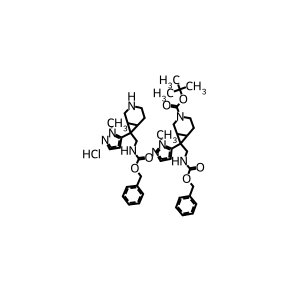 Cl.Cn1nccc1C1(CNC(=O)OCc2ccccc2)C2CCN(C(=O)OC(C)(C)C)CC21.Cn1nccc1C1(CNC(=O)OCc2ccccc2)C2CCNCC21